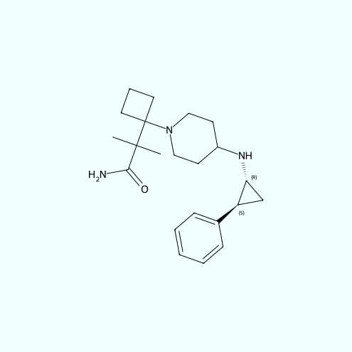 CC(C)(C(N)=O)C1(N2CCC(N[C@@H]3C[C@H]3c3ccccc3)CC2)CCC1